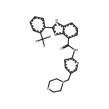 O=C(Nc1ccc(CN2CCOCC2)cn1)c1cccc2[nH]c(-c3ccccc3C(F)(F)F)nc12